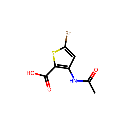 CC(=O)Nc1cc(Br)sc1C(=O)O